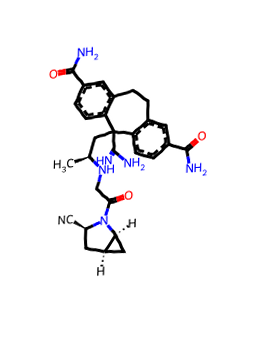 C[C@@H](CC1(C(=N)N)c2ccc(C(N)=O)cc2CCc2cc(C(N)=O)ccc21)NCC(=O)N1[C@H](C#N)C[C@@H]2C[C@@H]21